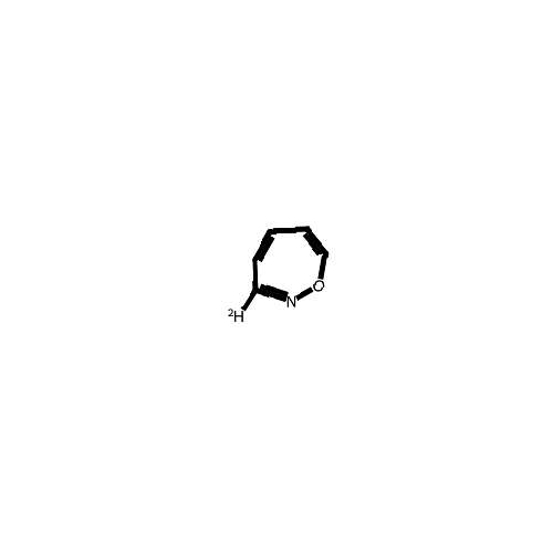 [2H]C1=NOC=CC=C1